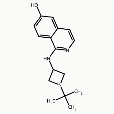 CC(C)(C)N1CC(Nc2nccc3cc(O)ccc23)C1